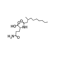 CCCCCCCC(C)CC(=O)NC(CCC(N)=O)C(=O)O